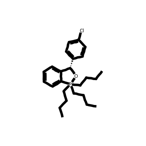 CCCCP1(CCCC)(CCCC)O[C@@H](c2ccc(Cl)cc2)c2ccccc21